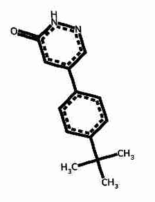 CC(C)(C)c1ccc(-c2cn[nH]c(=O)c2)cc1